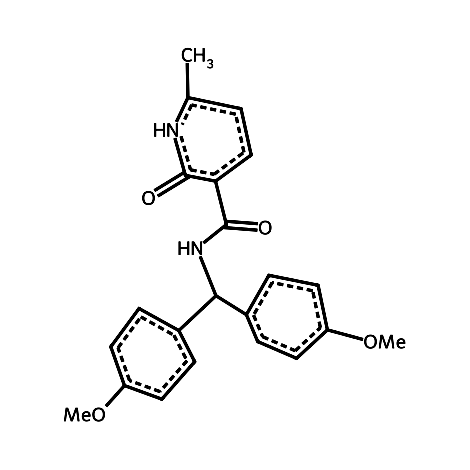 COc1ccc(C(NC(=O)c2ccc(C)[nH]c2=O)c2ccc(OC)cc2)cc1